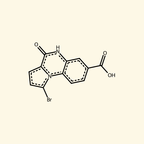 O=C(O)c1ccc2c(c1)[nH]c(=O)c1ccc(Br)n12